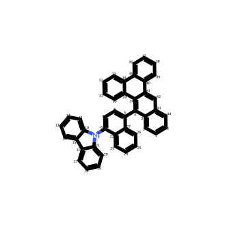 c1ccc2c(-c3ccc(-n4c5ccccc5c5ccccc54)c4ccccc34)c3c4ccccc4c4ccccc4c3cc2c1